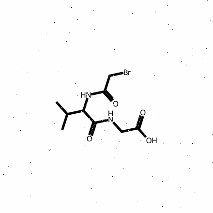 CC(C)C(NC(=O)CBr)C(=O)NCC(=O)O